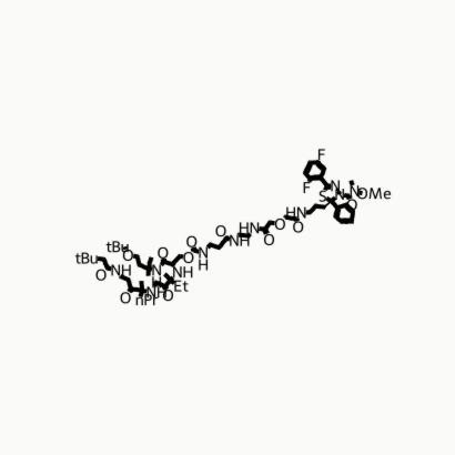 CCCC(C)(NCC(=O)C(C)(CC)NC(COC(=O)NCCC(=O)NCCNC(=O)COCC(=O)NCCC[C@@]1(c2ccccc2)SC(c2cc(F)ccc2F)=NN1C(=O)N(C)OC)C(=O)NC(C)(C)CCOC(C)(C)C)C(=O)CCNC(=O)CC(C)(C)C